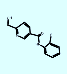 O=C(Nc1ccccc1F)c1ccc(CO)nc1